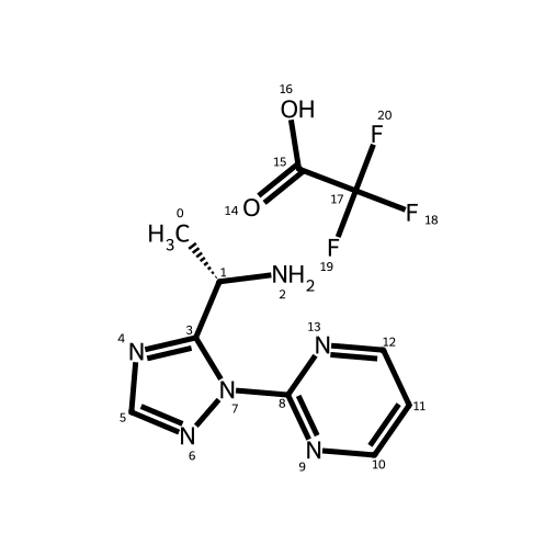 C[C@H](N)c1ncnn1-c1ncccn1.O=C(O)C(F)(F)F